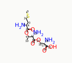 CSCC[C@H](N)C(=O)O[C@H](C)[C@H](N)C(=O)OC[C@H](N)C(=O)O